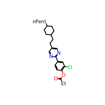 CCCCCC1CCC(CCc2cnc(-c3ccc(OC(=O)CC)c(Cl)c3)nc2)CC1